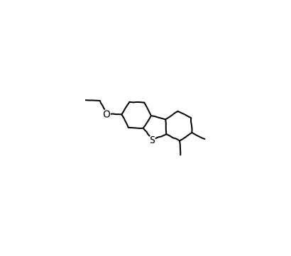 CCOC1CCC2C(C1)SC1C(C)C(C)CCC21